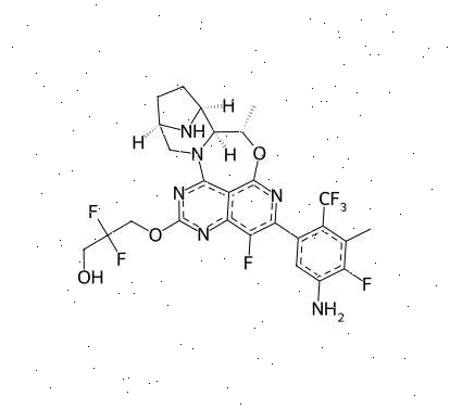 Cc1c(F)c(N)cc(-c2nc3c4c(nc(OCC(F)(F)CO)nc4c2F)N2C[C@H]4CC[C@H](N4)[C@H]2[C@H](C)O3)c1C(F)(F)F